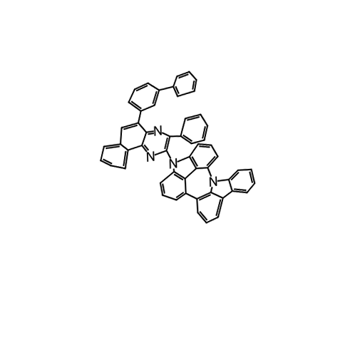 c1ccc(-c2cccc(-c3cc4ccccc4c4nc(-n5c6cccc7c8cccc9c%10ccccc%10n(c%10cccc5c%10c76)c89)c(-c5ccccc5)nc34)c2)cc1